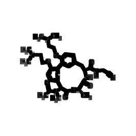 CC(=O)N(C)[C@@H]1C(=O)N[C@@H](C)C(=O)N[C@H](C(=O)NCC#N)Cc2ccc(OCCN(C)C)c(c2)-c2cc1ccc2OCCN(C)C